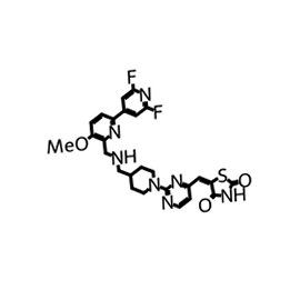 COc1ccc(-c2cc(F)nc(F)c2)nc1CNCC1CCN(c2nccc(C=C3SC(=O)NC3=O)n2)CC1